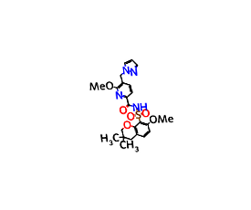 COc1ccc2c(c1S(=O)(=O)NC(=O)c1ccc(Cn3cccn3)c(OC)n1)OCC(C)(C)C2